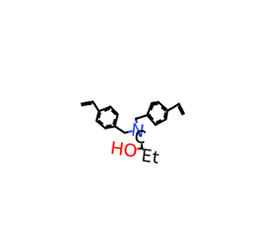 C=Cc1ccc(CN(Cc2ccc(C=C)cc2)CC(O)CC)cc1